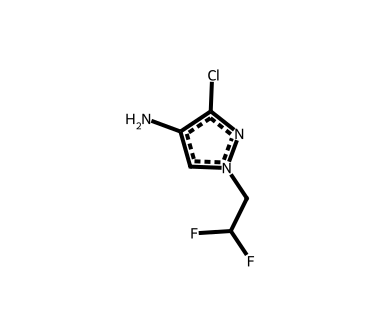 Nc1cn(CC(F)F)nc1Cl